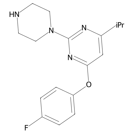 CC(C)c1cc(Oc2ccc(F)cc2)nc(N2CCNCC2)n1